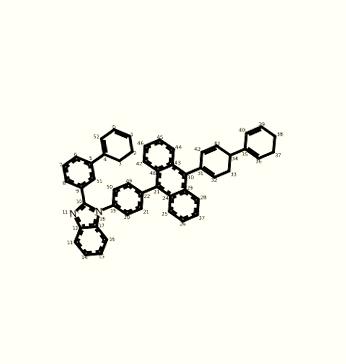 C1=CCCC(c2cccc(-c3nc4ccccc4n3-c3ccc(-c4c5ccccc5c(C5=CCC(C6=CCCC=C6)C=C5)c5ccccc45)cc3)c2)=C1